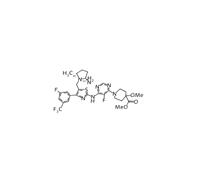 COC(=O)C1(OC)CCN(c2ncnc(Nc3nc(-c4cc(F)cc(C(F)(F)F)c4)c(CN4[C@H](C)CC[C@H]4N)s3)c2F)CC1